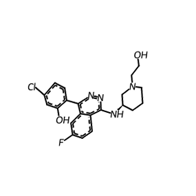 OCCN1CCC[C@@H](Nc2nnc(-c3ccc(Cl)cc3O)c3cc(F)ccc23)C1